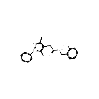 Cc1nn(-c2ccccc2)c(C)c1CC(=O)NCc1ccccc1Br